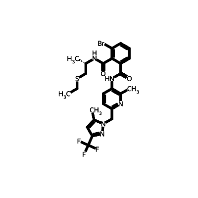 CCSC[C@H](C)NC(=O)c1c(Br)cccc1C(=O)Nc1ccc(Cn2nc(C(F)(F)F)cc2C)nc1C